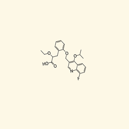 CCOC(Cc1ccccc1OCc1cnc2c(F)cccc2c1OC(C)C)C(=O)O